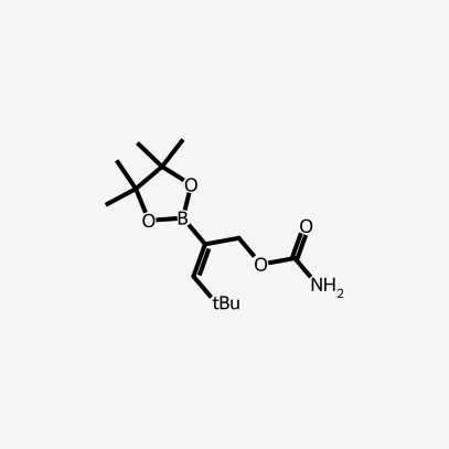 CC(C)(C)C=C(COC(N)=O)B1OC(C)(C)C(C)(C)O1